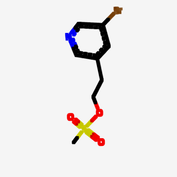 CS(=O)(=O)OCCc1cncc(Br)c1